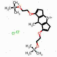 CC1C2=[C](CC=C2OCCO[Si](C)(C)C)[Zr+2][C]2=C1C(OCCO[Si](C)(C)C)=CC2.[Cl-].[Cl-]